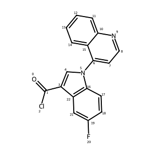 O=C(Cl)c1cn(-c2ccnc3ccccc23)c2ccc(F)cc12